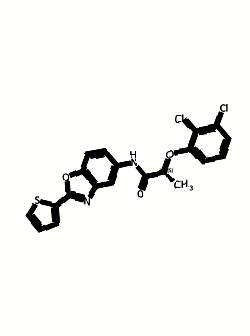 C[C@H](Oc1cccc(Cl)c1Cl)C(=O)Nc1ccc2oc(-c3cccs3)nc2c1